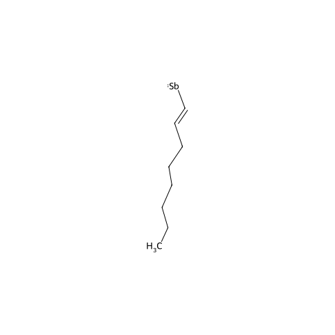 CCCCCC/C=[CH]/[Sb]